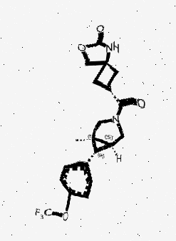 C[C@]12CN(C(=O)[C@H]3C[C@]4(COC(=O)N4)C3)C[C@H]1[C@@H]2c1ccc(OC(F)(F)F)cc1